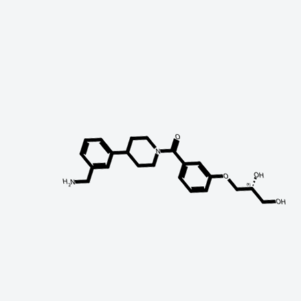 NCc1cccc(C2CCN(C(=O)c3cccc(OC[C@H](O)CO)c3)CC2)c1